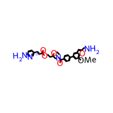 COc1cc(-c2ccc(C(=O)N3CCOC(CCOC(=O)/C=C/c4ccc(N)nc4)C3)cc2)cc2cc(CN)oc12